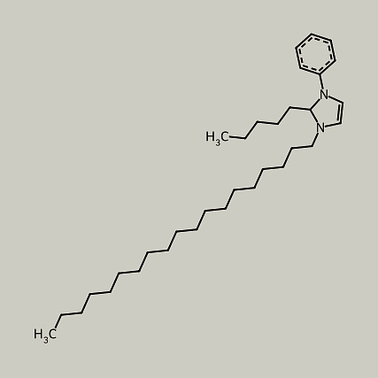 CCCCCCCCCCCCCCCCCCCN1C=CN(c2ccccc2)C1CCCCC